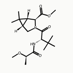 COC(=O)[C@@H]1[C@@H]2[C@H](CN1C(=O)[C@@H](NC(=O)[C@@H](C)OC)C(C)(C)C)C2(C)C